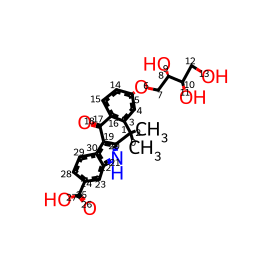 CC1(C)c2cc(OC[C@@H](O)C(O)CO)ccc2C(=O)c2c1[nH]c1cc(C(=O)O)ccc21